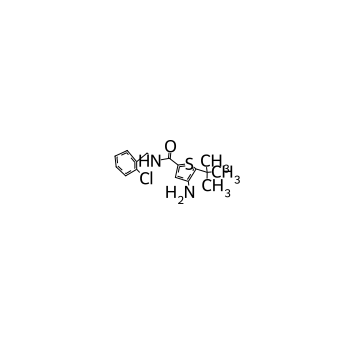 CC(C)(C)c1sc(C(=O)NCc2ccccc2Cl)cc1N